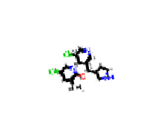 Cc1cc(Cl)cnc1O[C@H](c1cncc(Cl)c1)C1CCNC1